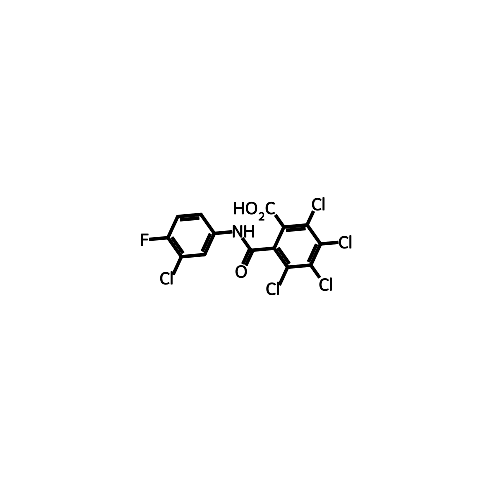 O=C(O)c1c(Cl)c(Cl)c(Cl)c(Cl)c1C(=O)Nc1ccc(F)c(Cl)c1